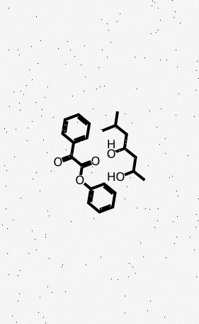 CC(C)CC(O)CC(C)O.O=C(Oc1ccccc1)C(=O)c1ccccc1